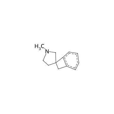 CN1CCC2(Cc3ccccc32)C1